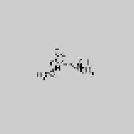 COc1ccc(N)c(NCCCN(C)C)n1